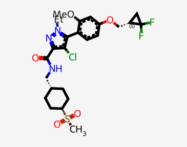 CCn1nc(C(=O)NC[C@H]2CC[C@H](S(C)(=O)=O)CC2)c(Cl)c1-c1ccc(OC[C@@H]2CC2(F)F)cc1OC